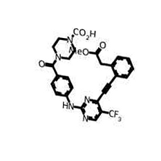 COC(=O)Cc1ccccc1C#Cc1nc(Nc2ccc(C(=O)N3CCN(C(=O)O)CC3)cc2)ncc1C(F)(F)F